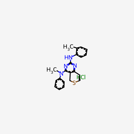 Cc1ccccc1Nc1nc2c(c(N(C)c3ccccc3)n1)CSC=C2.Cl